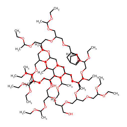 CCOC(C)OCC(COCC1CC2C=CC1C2)OCC(COC(C)OCC)OCC(COC(C)OCC)OCC(COC(C)OCC)OCC(COC(C)OCC)OCC(COC(C)OCC)OCC(COC(C)OCC)OCC(CO)OCC(COCC(OCC)OCC)OCC(COCC(OCC)OCC)OCC(COCC(OCC)OCC)OCC(O)COCC(OCC)OCC